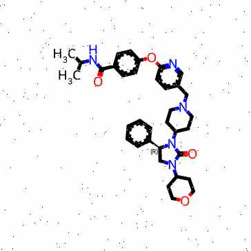 CC(C)NC(=O)c1ccc(Oc2ccc(CN3CCC(N4C(=O)N(C5CCOCC5)C[C@H]4c4ccccc4)CC3)cn2)cc1